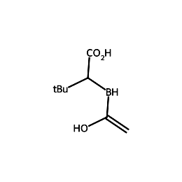 C=C(O)BC(C(=O)O)C(C)(C)C